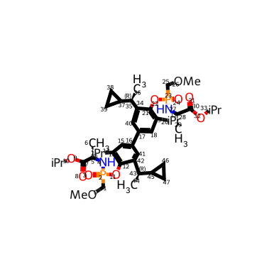 COCP(=O)(N[C@@H](C)C(=O)OC(C)C)Oc1c(C(C)C)cc(-c2cc(C(C)C)c(OP(=O)(COC)N[C@@H](C)C(=O)OC(C)C)c([C@H](C)C3CC3)c2)cc1[C@H](C)C1CC1